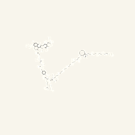 CC[C@@]1(O)C(=O)OCc2c1cc1n(c2=O)Cc2c-1nc1cc(F)c(C)c3c1c2[C@@H](NC(=O)COCNC(=O)CNC(=O)OCc1ccc(NC(=O)[C@H](CCCNC(N)=O)NC(=O)[C@@H](NC(=O)CCOCCOCCOCCOCCNC(=O)COC2CCCCCc4c2nnn4CCOCCOCCOCCN)C(C)C)cc1)CC3